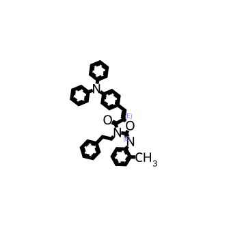 Cc1ccccc1/N=C1/O/C(=C/c2ccc(N(c3ccccc3)c3ccccc3)cc2)C(=O)N1CCc1ccccc1